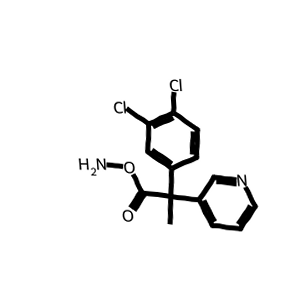 CC(C(=O)ON)(c1cccnc1)c1ccc(Cl)c(Cl)c1